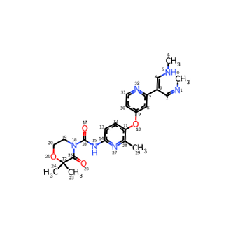 C/N=C\C(=C/NC)c1cc(Oc2ccc(NC(=O)N3CCOC(C)(C)C3=O)nc2C)ccn1